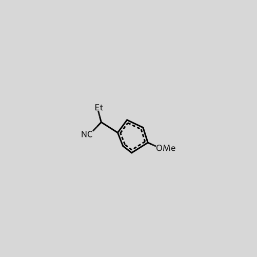 CCC(C#N)c1ccc(OC)cc1